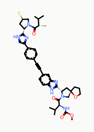 COC(=O)N[C@H](C(=O)N1C[C@]2(CCCO2)C[C@H]1c1nc2cc(C#Cc3ccc(-c4c[nH]c([C@@H]5C[C@@H](F)CN5C(=O)[C@@H](C)C(C)C)n4)cc3)ccc2[nH]1)C(C)C